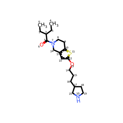 CCC(CC)C(=O)N1CCc2sc(OCCCC3CCNC3)cc2C1